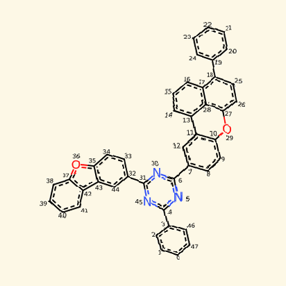 c1ccc(-c2nc(-c3ccc4c(c3)-c3cccc5c(-c6ccccc6)ccc(c35)O4)nc(-c3ccc4oc5ccccc5c4c3)n2)cc1